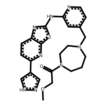 COCC(=O)N1CCCN(Cc2ccnc(Nc3nc4ccc(-c5cn[nH]c5)nc4s3)c2)CC1